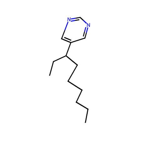 CCCCCCC(CC)c1cncnc1